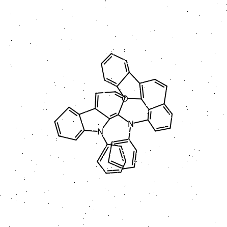 c1ccc(N(c2cccc3ccc4c5ccccc5oc4c23)c2cccc3c4ccccc4n(-c4ccccc4)c23)cc1